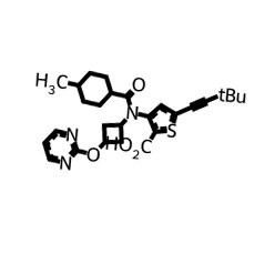 CC1CCC(C(=O)N(c2cc(C#CC(C)(C)C)sc2C(=O)O)C2CC(Oc3ncccn3)C2)CC1